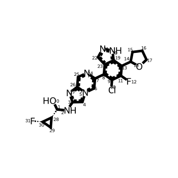 OC(Nc1cn2cc(-c3c(Cl)c(F)c(C4CCCO4)c4[nH]ncc34)ncc2n1)[C@@H]1C[C@@H]1F